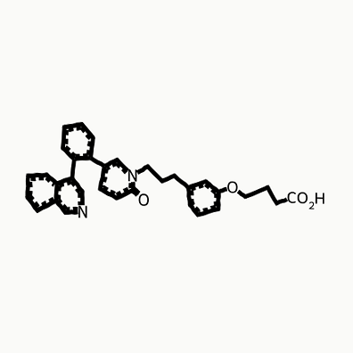 O=C(O)CCCOc1cccc(CCCn2cc(-c3ccccc3-c3cncc4ccccc34)ccc2=O)c1